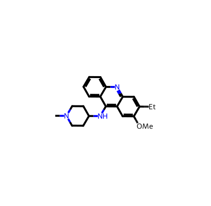 CCc1cc2nc3ccccc3c(NC3CCN(C)CC3)c2cc1OC